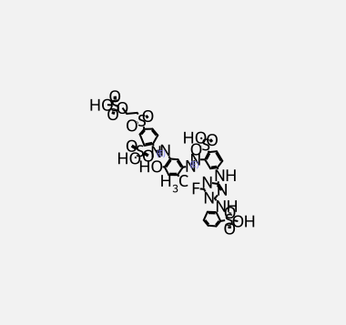 Cc1cc(O)c(/N=N/c2ccc(S(=O)(=O)CCOS(=O)(=O)O)cc2S(=O)(=O)O)cc1/N=N/c1cc(Nc2nc(F)nc(Nc3ccccc3S(=O)(=O)O)n2)ccc1S(=O)(=O)O